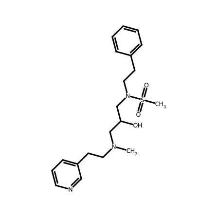 CN(CCc1cccnc1)CC(O)CN(CCc1ccccc1)S(C)(=O)=O